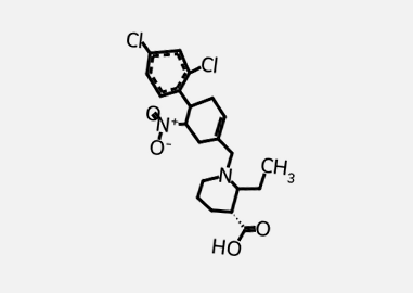 CCC1[C@H](C(=O)O)CCCN1CC1=CCC(c2ccc(Cl)cc2Cl)C([N+](=O)[O-])C1